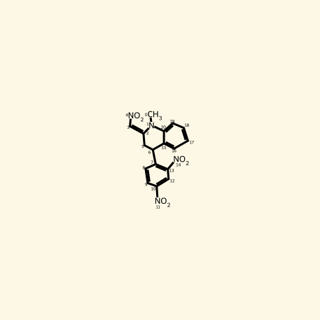 CN1C(=C[N+](=O)[O-])CC(c2ccc([N+](=O)[O-])cc2[N+](=O)[O-])c2ccccc21